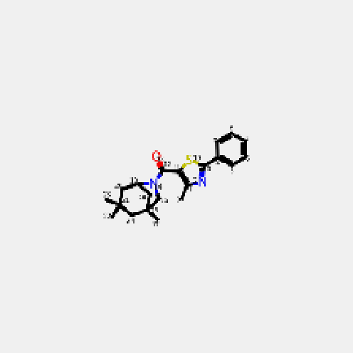 Cc1nc(-c2ccccc2)sc1C(=O)N1CC2(C)CC1CC(C)(C)C2